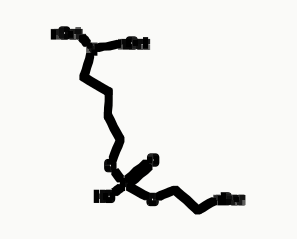 CCCCCCCCCCCCOP(=O)(O)OCCCCN(CCCCCCCC)CCCCCCCC